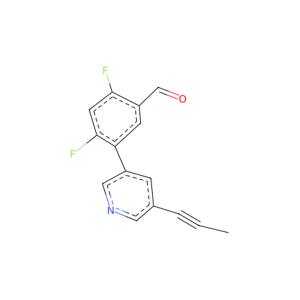 CC#Cc1cncc(-c2cc(C=O)c(F)cc2F)c1